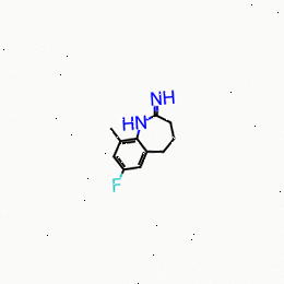 Cc1cc(F)cc2c1NC(=N)CCC2